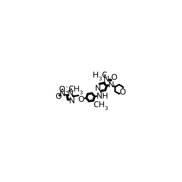 Cc1cc(OCc2ncc([N+](=O)[O-])n2C)ccc1Nc1cc2c(cn1)n(C)c(=O)n2C1CCOCC1